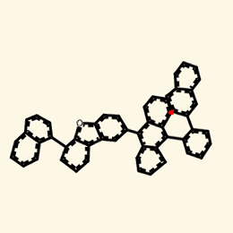 c1ccc(-c2c3ccccc3c(-c3ccc4oc5c(-c6cccc7ccccc67)cccc5c4c3)c3ccccc23)c(-c2ccc3ccccc3c2)c1